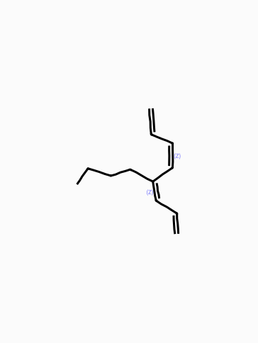 C=C/C=C\C(=C/C=C)CCCC